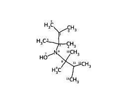 CC(C)C(C)(C)N(O)C(C)(C)C(C)C